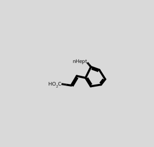 CCCCCCCc1ccccc1/C=C/C(=O)O